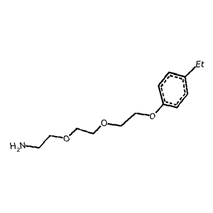 CCc1ccc(OCCOCCOCCN)cc1